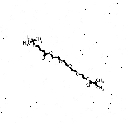 C=C(C)C(=O)OCCOCCOCCOCCOC(=O)CCCOC(C)(C)C